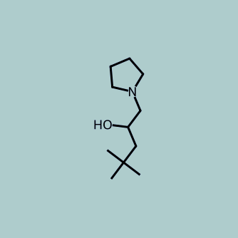 CC(C)(C)CC(O)CN1CCCC1